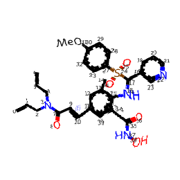 C=CCN(CC=C)C(=O)/C=C/c1cc(C)c(NC(c2cccnc2)S(=O)(=O)c2ccc(OC)cc2)c(C(=O)NO)c1